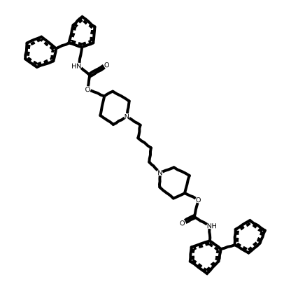 O=C(Nc1ccccc1-c1ccccc1)OC1CCN(CCCCN2CCC(OC(=O)Nc3ccccc3-c3ccccc3)CC2)CC1